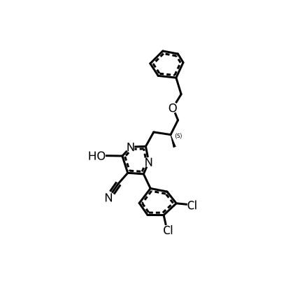 C[C@H](COCc1ccccc1)Cc1nc(O)c(C#N)c(-c2ccc(Cl)c(Cl)c2)n1